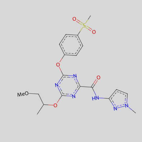 COCC(C)Oc1nc(Oc2ccc(S(C)(=O)=O)cc2)nc(C(=O)Nc2ccn(C)n2)n1